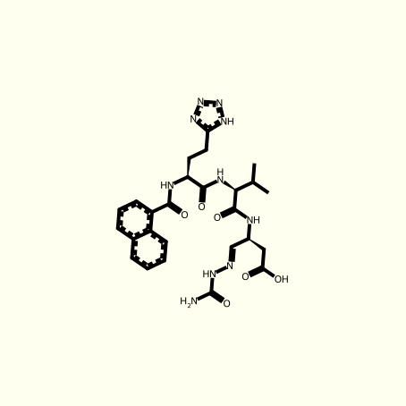 CC(C)[C@H](NC(=O)[C@H](CCc1nnn[nH]1)NC(=O)c1cccc2ccccc12)C(=O)N[C@H](/C=N/NC(N)=O)CC(=O)O